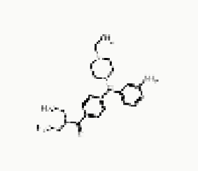 CCN1CCN([C@@H](c2ccc(C(=O)N(CC)CC)cc2)c2cccc(N)c2)CC1